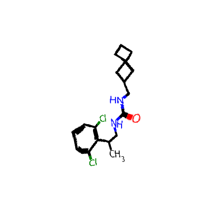 CC(CNC(=O)NCC1CC2(CCC2)C1)c1c(Cl)cccc1Cl